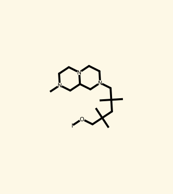 CN1CCN2CCN(CC(C)(C)CC(C)(C)COI)CC2C1